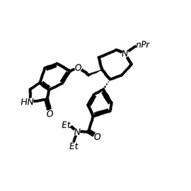 CCCN1CC[C@H](COc2ccc3c(c2)C(=O)NC3)[C@@H](c2ccc(C(=O)N(CC)CC)cc2)CC1